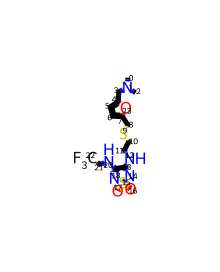 CN(C)Cc1ccc(CSCCNC2=NS(=O)(=O)N=C2NCC(F)(F)F)o1